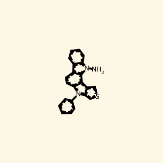 Nn1c2ccccc2c2ccc3c(c4cscc4n3-c3ccccc3)c21